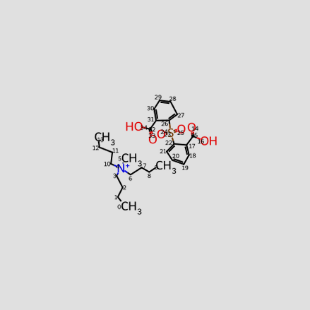 CCCC[N+](C)(CCCC)CCCC.O=C(O)c1ccccc1S(=O)(=O)c1ccccc1C(=O)O